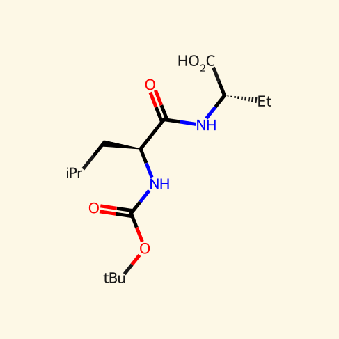 CC[C@H](NC(=O)[C@H](CC(C)C)NC(=O)OC(C)(C)C)C(=O)O